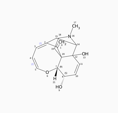 C=C1/C2=C\C=C/O[C@H]3[C@@H](O)C=CC4(O)C(C2)N(C)CCC134